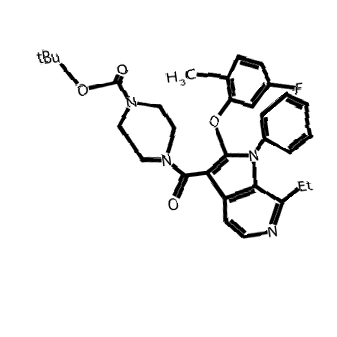 CCc1nccc2c(C(=O)N3CCN(C(=O)OC(C)(C)C)CC3)c(Oc3cc(F)ccc3C)n(-c3ccccc3)c12